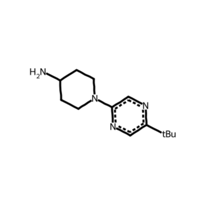 CC(C)(C)c1cnc(N2CCC(N)CC2)cn1